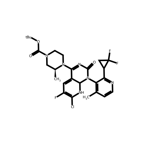 Cc1ccnc(C2CC2(F)F)c1N1C(=O)N=C(N2CCN(C(=O)OC(C)(C)C)C[C@@H]2C)C2=CC(F)=C(Cl)NC21